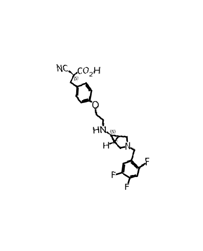 N#C[C@H](Cc1ccc(OCCN[C@H]2C3CN(Cc4cc(F)c(F)cc4F)C[C@@H]32)cc1)C(=O)O